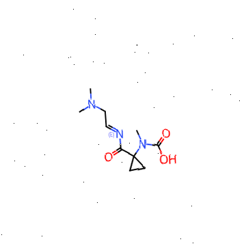 CN(C)C/C=N/C(=O)C1(N(C)C(=O)O)CC1